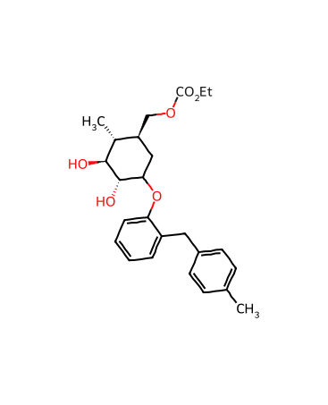 CCOC(=O)OC[C@H]1CC(Oc2ccccc2Cc2ccc(C)cc2)[C@H](O)[C@@H](O)[C@@H]1C